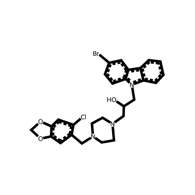 OC(CN1CCN(Cc2cc3c(cc2Cl)OCO3)CC1)Cn1c2ccccc2c2cc(Br)ccc21